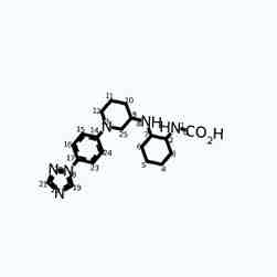 O=C(O)NC1CCCCC1NC1CCCN(c2ccc(-n3cncn3)cc2)C1